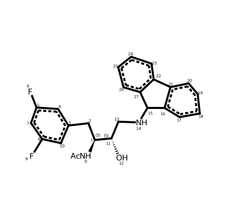 CC(=O)N[C@@H](Cc1cc(F)cc(F)c1)[C@@H](O)CNC1c2ccccc2-c2ccccc21